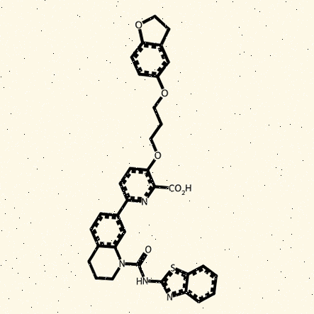 O=C(O)c1nc(-c2ccc3c(c2)N(C(=O)Nc2nc4ccccc4s2)CCC3)ccc1OCCCOc1ccc2c(c1)CCO2